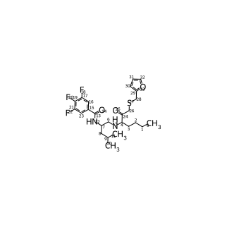 CCCCC(NCC(CC(C)C)NC(=O)c1cc(F)c(F)c(F)c1)C(=O)CSCc1ccco1